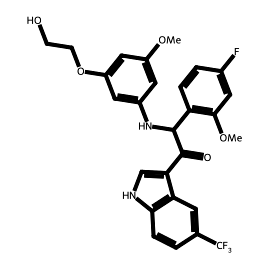 COc1cc(NC(C(=O)c2c[nH]c3ccc(C(F)(F)F)cc23)c2ccc(F)cc2OC)cc(OCCO)c1